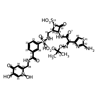 CC(C)(ON=C(C(=O)N[C@@H]1C(=O)N(S(=O)(=O)O)[C@@H]1CNS(=O)(=O)c1cccc(C(=O)NCc2cc(=O)c(O)cn2O)c1)c1csc(N)n1)C(=O)O